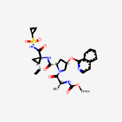 C=C[C@@H]1C[C@]1(NC(=O)[C@@H]1C[C@@H](Oc2nccc3ccccc23)CN1C(=O)[C@@H](NC(=O)OCCCCCC)C(C)(C)C)C(=O)NS(=O)(=O)C1CC1